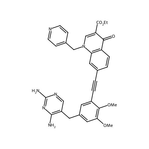 CCOC(=O)c1cn(Cc2ccncc2)c2cc(C#Cc3cc(Cc4cnc(N)nc4N)cc(OC)c3OC)ccc2c1=O